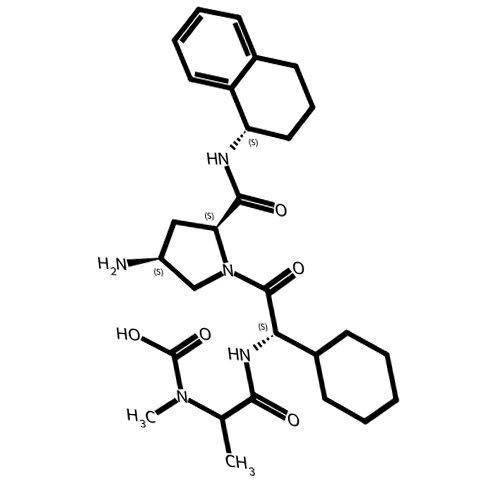 CC(C(=O)N[C@H](C(=O)N1C[C@@H](N)C[C@H]1C(=O)N[C@H]1CCCc2ccccc21)C1CCCCC1)N(C)C(=O)O